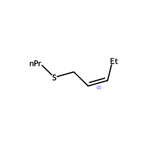 CC/C=C\CSCCC